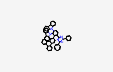 C1=CCC=CC(c2nc(-c3ccccc3)nc(-c3ccc(-n4c5ccccc5c5ccccc54)c(-n4c5ccccc5c5ccccc54)c3C3=CC4c5ccccc5-c5ccccc5C4C=C3)n2)=C1